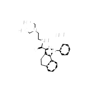 CCN(CC)CCNC(=O)c1nn(-c2ccccc2)c2c1CCc1ccccc1-2.Cl